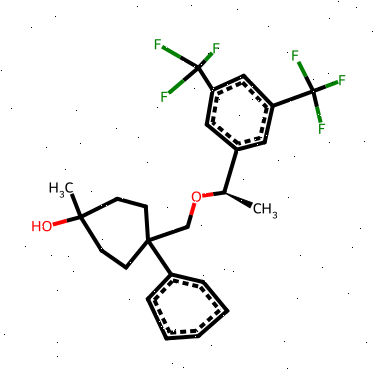 C[C@@H](OCC1(c2ccccc2)CCC(C)(O)CC1)c1cc(C(F)(F)F)cc(C(F)(F)F)c1